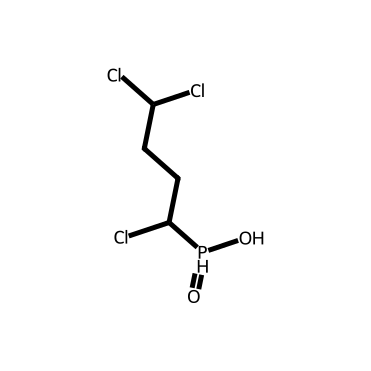 O=[PH](O)C(Cl)CCC(Cl)Cl